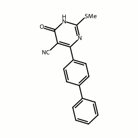 CSc1nc(-c2ccc(-c3ccccc3)cc2)c(C#N)c(=O)[nH]1